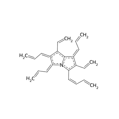 C=C/C=C\c1c(C=C)/c(=C/C=C)c2c(C=C)c(=C/C=C)/c(=C\C=C)n12